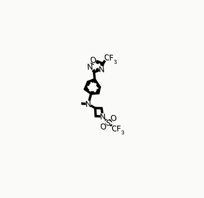 CN(c1ccc(-c2noc(C(F)(F)F)n2)cc1)C1CN(S(=O)(=O)C(F)(F)F)C1